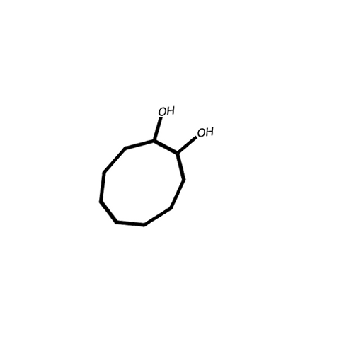 OC1CCCCCCCC1O